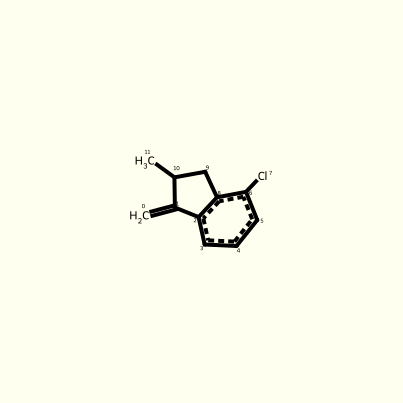 C=C1c2cccc(Cl)c2CC1C